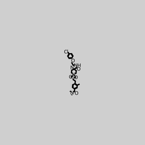 Cc1cc(C(=O)N(C)C)ccc1CCS(=O)(=O)N1CCC2(CC1)N=C(COc1ccc(Cl)cc1)NC2=O